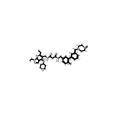 CCc1nc2c(cnn2CC)c(NC2CCOCC2)c1CNC(=O)CC(=O)NCc1ccc(F)c(-c2cccc(CN3CCN(C)CC3)c2)c1